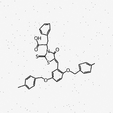 Cc1ccc(COc2ccc(OCc3ccc(C)cc3)c(C=C3SC(=S)N(C(Cc4ccccc4)C(=O)O)C3=O)c2)cc1